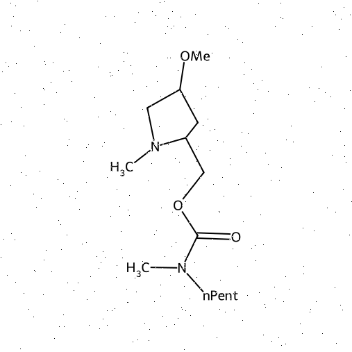 CCCCCN(C)C(=O)OCC1CC(OC)CN1C